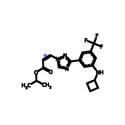 CC(C)OC(=O)/C=C\n1cnc(-c2cc(NC3CCC3)cc(C(F)(F)F)c2)n1